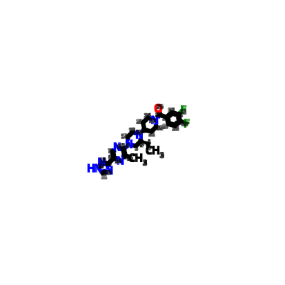 CC[C@H]1CN(c2ncc(-c3nc[nH]n3)nc2C)CCN1C1CCN(C(=O)c2ccc(F)c(F)c2)CC1